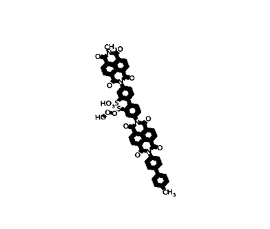 Cc1ccc(-c2ccc(N3C(=O)c4ccc5c6c(ccc(c46)C3=O)C(=O)N(c3ccc(-c4ccc(N6C(=O)c7ccc8c9c(ccc(c79)C6=O)C(=O)N(C)C8=O)cc4S(=O)(=O)O)c(SOOO)c3)C5=O)cc2)cc1